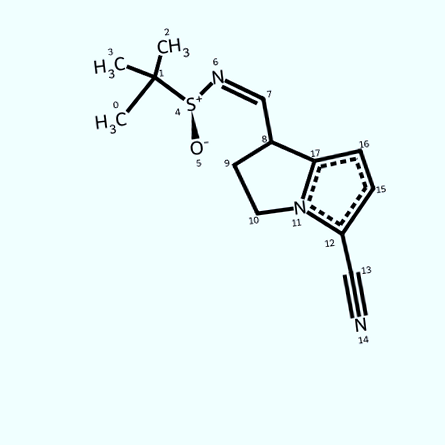 CC(C)(C)[S@+]([O-])/N=C\C1CCn2c(C#N)ccc21